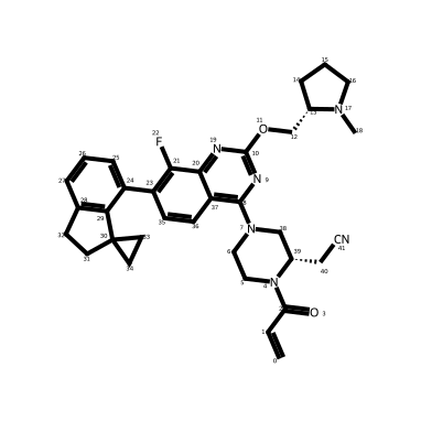 C=CC(=O)N1CCN(c2nc(OC[C@@H]3CCCN3C)nc3c(F)c(-c4cccc5c4C4(CC5)CC4)ccc23)C[C@@H]1CC#N